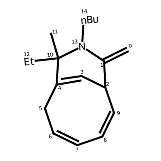 C=C1C2C=C(C/C=C\C=C/2)C(C)(CC)N1CCCC